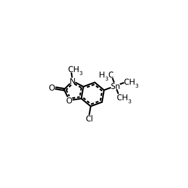 Cn1c(=O)oc2c(Cl)c[c]([Sn]([CH3])([CH3])[CH3])cc21